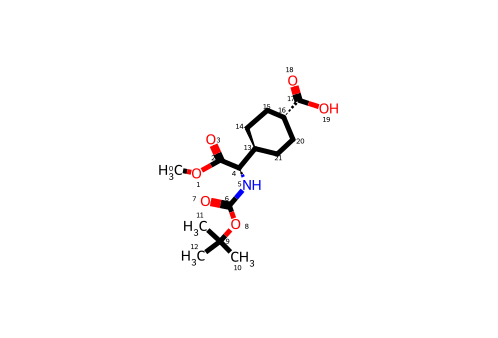 COC(=O)[C@@H](NC(=O)OC(C)(C)C)[C@H]1CC[C@H](C(=O)O)CC1